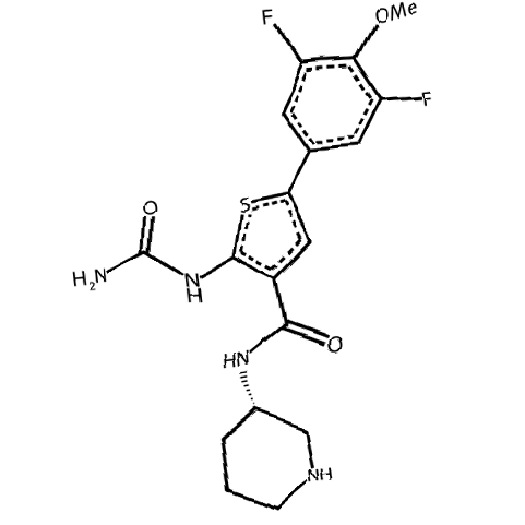 COc1c(F)cc(-c2cc(C(=O)N[C@H]3CCCNC3)c(NC(N)=O)s2)cc1F